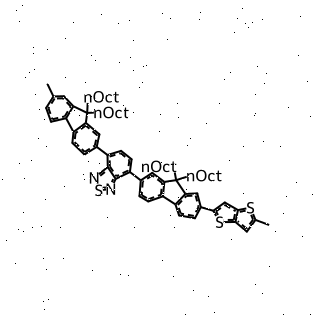 CCCCCCCCC1(CCCCCCCC)c2cc(C)ccc2-c2ccc(-c3ccc(-c4ccc5c(c4)C(CCCCCCCC)(CCCCCCCC)c4cc(-c6cc7sc(C)cc7s6)ccc4-5)c4nsnc34)cc21